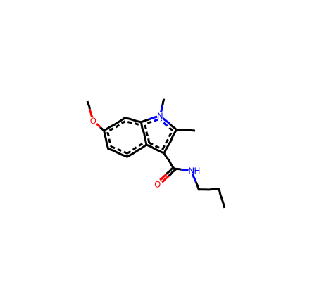 CCCNC(=O)c1c(C)n(C)c2cc(OC)ccc12